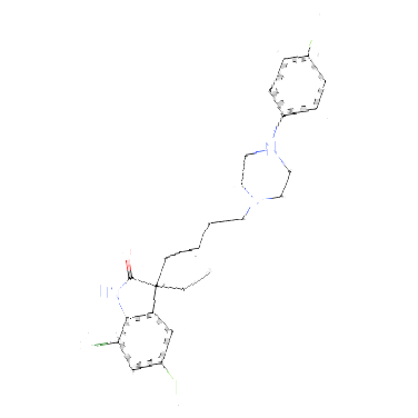 CCC1(CCCCN2CCN(c3ccc(F)cc3)CC2)C(=O)Nc2c(Cl)cc(F)cc21